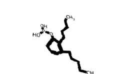 CCCCCc1cccc(OP(O)O)c1CCCCC